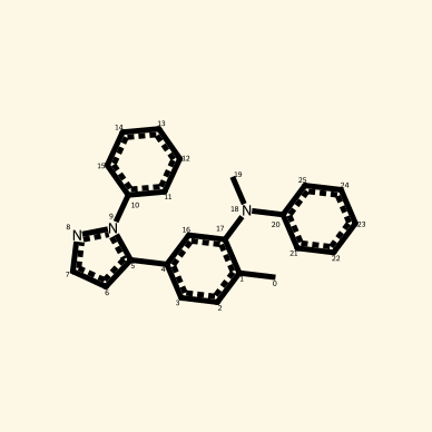 Cc1ccc(-c2ccnn2-c2ccccc2)cc1N(C)c1ccccc1